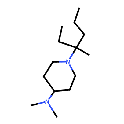 CCCC(C)(CC)N1CCC(N(C)C)CC1